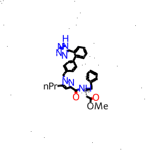 CCCc1cc(C(=O)N[C@@H](CC(=O)OC)Cc2ccccc2)nn1Cc1ccc(-c2ccccc2-c2nnn[nH]2)cc1